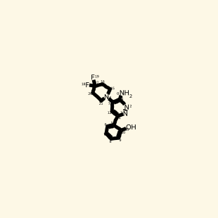 Nc1nnc(-c2ccccc2O)cc1N1CCC(F)(F)CC1